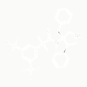 CN(C(=O)C(C)(C)c1cc(C(F)(F)F)cc(C(F)(F)F)c1)[C@]1(Cc2ccccc2)CNC[C@H]1c1ccccc1